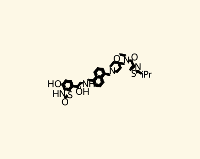 CC(C)c1nc(C(=O)N2CCOC3(CCN(Cc4cccc5c(CNC[C@H](O)c6ccc(O)c7[nH]c(=O)sc67)cccc45)CC3)C2)cs1